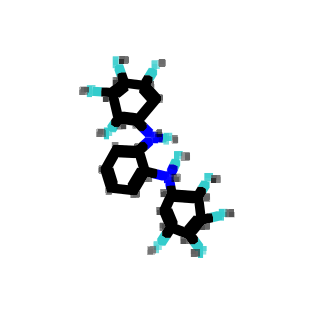 Fc1cc(N(F)c2ccccc2N(F)c2cc(F)c(F)c(F)c2F)c(F)c(F)c1F